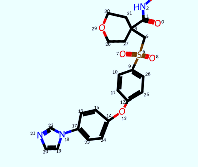 O=C(NO)C1(CS(=O)(=O)c2ccc(Oc3ccc(-n4ccnc4)cc3)cc2)CCOCC1